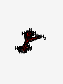 CC(=O)N[C@H]1[C@H]([C@H](OCC(=O)NCCOCCN(CCOCCNC(=O)CO[C@@H]([C@@H]2OC(C(=O)O)=C[C@H](NC(=N)N)[C@H]2NC(C)=O)[C@H](O)CO)C(=O)CCOCCOCCOCCOCCOCCON)[C@H](O)CO)OC(C(=O)O)=C[C@@H]1NC(=N)N